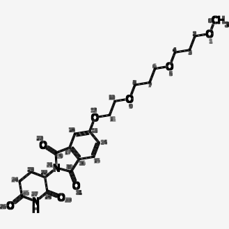 COCCCOCCCOCCOc1ccc2c(c1)C(=O)N(C1CCC(=O)NC1=O)C2=O